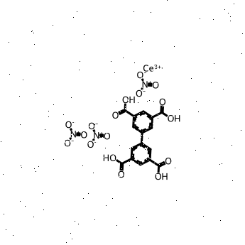 O=C(O)c1cc(C(=O)O)cc(-c2cc(C(=O)O)cc(C(=O)O)c2)c1.O=[N+]([O-])[O-].O=[N+]([O-])[O-].O=[N+]([O-])[O-].[Ce+3]